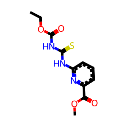 CCOC(=O)NC(=S)Nc1cccc(C(=O)OC)n1